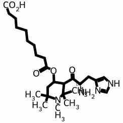 CN1C(C)(C)CC(OC(=O)CCCCCCCCC(=O)O)C(C(=O)[C@@H](N)Cc2c[nH]cn2)C1(C)C